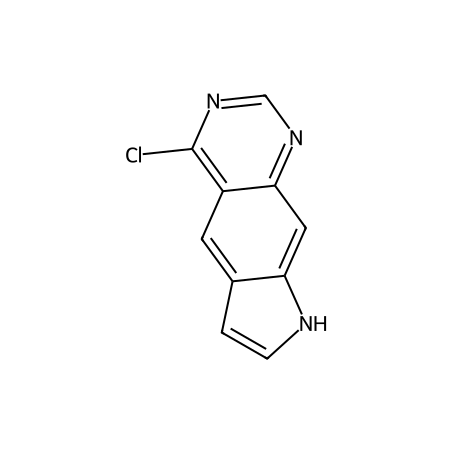 Clc1ncnc2cc3[nH]ccc3cc12